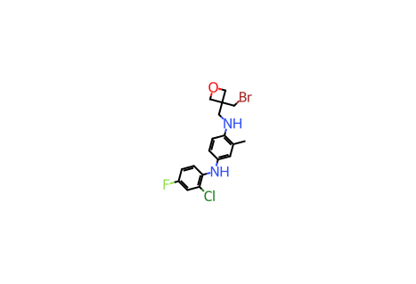 Cc1cc(Nc2ccc(F)cc2Cl)ccc1NCC1(CBr)COC1